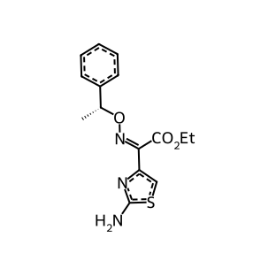 CCOC(=O)/C(=N\O[C@H](C)c1ccccc1)c1csc(N)n1